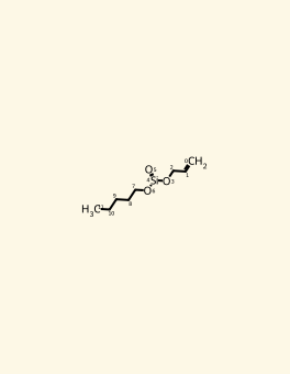 C=CCO[Si](=O)OCCCCC